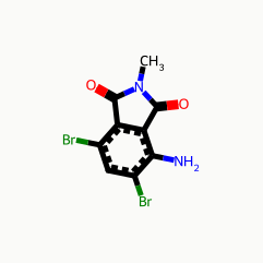 CN1C(=O)c2c(Br)cc(Br)c(N)c2C1=O